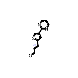 O=C/C=C/c1cc(-c2ncccn2)cs1